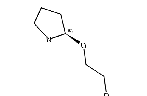 CCOCCO[C@@H]1CCC[N]1